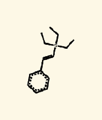 CC[Si](C=Cc1ccccc1)(CC)CC